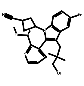 CO[C@@H](C)c1ncccc1-c1c(CC(C)(C)CO)c2cc(Br)ccc2n1C1CC(C#N)C1